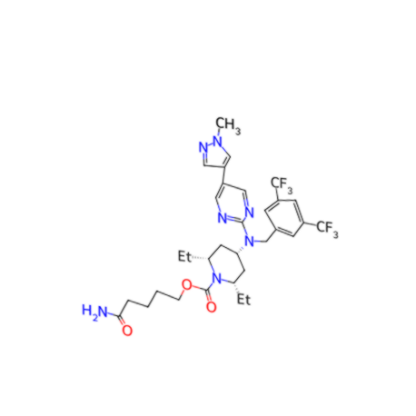 CC[C@@H]1C[C@H](N(Cc2cc(C(F)(F)F)cc(C(F)(F)F)c2)c2ncc(-c3cnn(C)c3)cn2)C[C@H](CC)N1C(=O)OCCCCC(N)=O